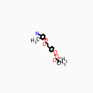 C=C(C)C(=O)OCOc1ccc(CCC(=O)Oc2ccc(C#N)c(C)c2)cc1